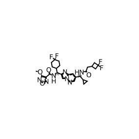 COc1nonc1C(=O)N[C@H](c1cn2ncc([C@H](NC(=O)CC3CC(F)(F)C3)C3CC3)cc2n1)C1CCC(F)(F)CC1